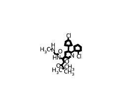 CNCC(=O)Nc1c(C(=O)C(C)(C)C)oc2nc(-c3ccccc3Cl)c(-c3ccc(Cl)cc3)cc12